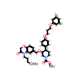 COCCCN1C(=O)COc2ccc(COC3CN(C(=O)OC(C)(C)C)CCC3c3ccc(OCCCOc4cc(F)cc(F)c4)cc3)cc21